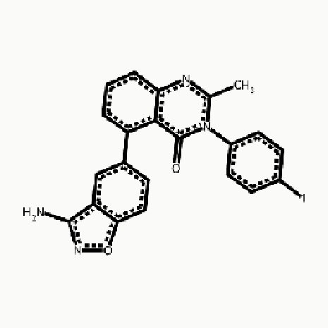 Cc1nc2cccc(-c3ccc4onc(N)c4c3)c2c(=O)n1-c1ccc(I)cc1